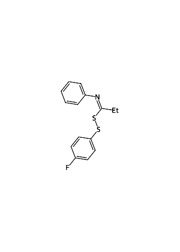 CCC(=Nc1ccccc1)SSc1ccc(F)cc1